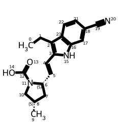 CCc1c(C=C[C@@H]2C[C@H](C)CN2C(=O)O)[nH]c2cc(C#N)ccc12